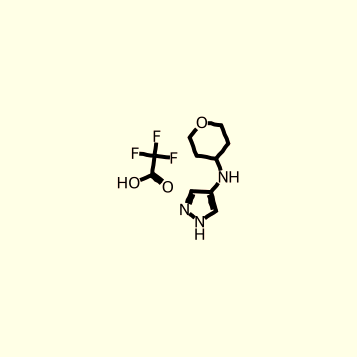 O=C(O)C(F)(F)F.c1n[nH]cc1NC1CCOCC1